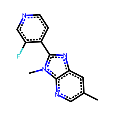 Cc1cnc2c(c1)nc(-c1ccncc1F)n2C